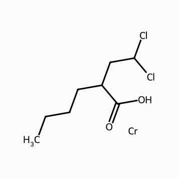 CCCCC(CC(Cl)Cl)C(=O)O.[Cr]